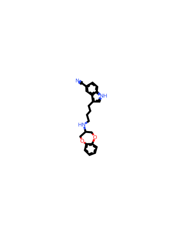 N#Cc1ccc2[nH]cc(CCCCNC3COc4ccccc4OC3)c2c1